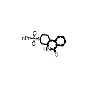 CCCS(=O)(=O)N1CCc2c([nH]c(=O)c3ccccc23)C1